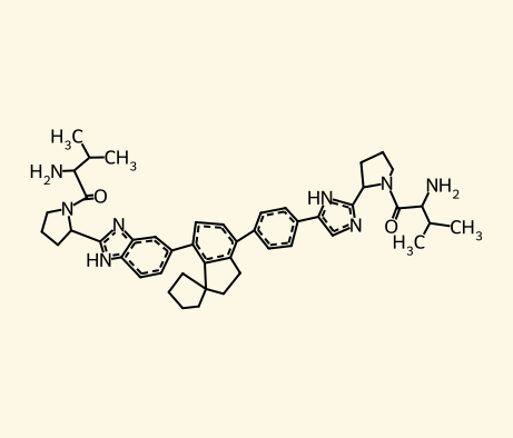 CC(C)C(N)C(=O)N1CCCC1c1ncc(-c2ccc(-c3ccc(-c4ccc5[nH]c(C6CCCN6C(=O)C(N)C(C)C)nc5c4)c4c3CCC43CCCC3)cc2)[nH]1